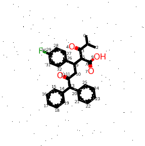 CC(C)C(=O)C(C(=O)O)C(CC(=O)C(c1ccccc1)c1ccccc1)c1ccc(F)cc1